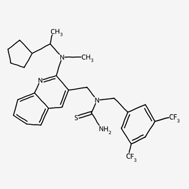 CC(C1CCCC1)N(C)c1nc2ccccc2cc1CN(Cc1cc(C(F)(F)F)cc(C(F)(F)F)c1)C(N)=S